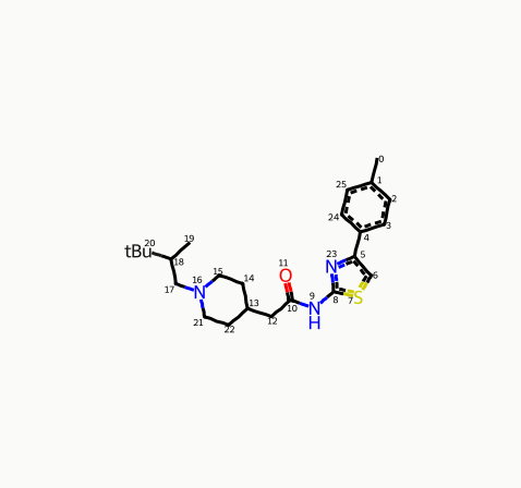 Cc1ccc(-c2csc(NC(=O)CC3CCN(CC(C)C(C)(C)C)CC3)n2)cc1